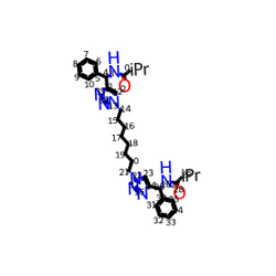 CC(C)C(=O)NC(c1ccccc1)c1cn(CCCCCCCCn2cc(C(NC(=O)C(C)C)c3ccccc3)nn2)nn1